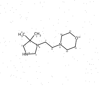 CC1(C)CNCN1CCN1CCOCC1